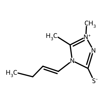 CCC=Cn1c([S-])n[n+](C)c1C